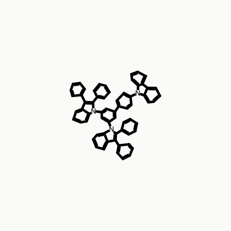 c1ccc(-c2c(-c3ccccc3)n(-c3cc(-c4ccc(-n5c6ccccc6c6ccccc65)cc4)cc(-n4c(-c5ccccc5)c(-c5ccccc5)c5ccccc54)c3)c3ccccc23)cc1